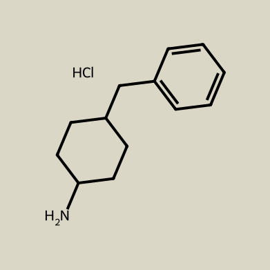 Cl.NC1CCC(Cc2ccccc2)CC1